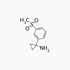 CS(=O)(=O)c1cccc(C2(N)CC2)c1